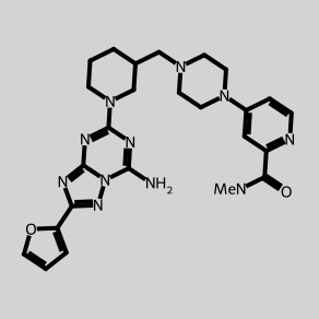 CNC(=O)c1cc(N2CCN(CC3CCCN(c4nc(N)n5nc(-c6ccco6)nc5n4)C3)CC2)ccn1